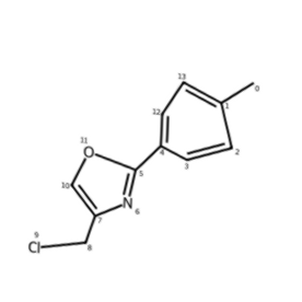 Cc1ccc(-c2nc(CCl)co2)cc1